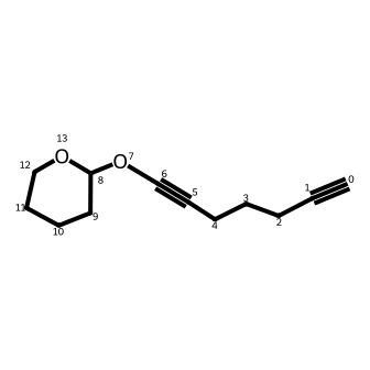 C#CCCCC#COC1CCCCO1